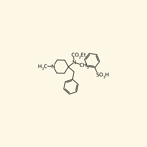 CCOC(=O)N(C)C1(Cc2ccccc2)CCN(C)CC1.O=S(=O)(O)c1ccccc1